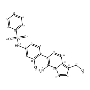 Nc1c(-c2ccc(NS(=O)(=O)c3ccccc3)cc2Cl)cnc2c(CCl)cnn12